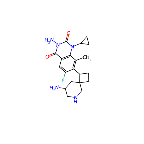 Cc1c(C2CCC23CNCC(N)C3)c(F)cc2c(=O)n(N)c(=O)n(C3CC3)c12